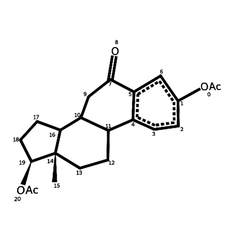 CC(=O)Oc1ccc2c(c1)C(=O)CC1C2CC[C@@]2(C)C1CC[C@@H]2OC(C)=O